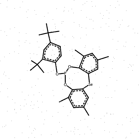 Cc1cc(C)c2c(c1)[Se]c1cc(C)cc(C)c1OP(Oc1ccc(C(C)(C)C)cc1C(C)(C)C)O2